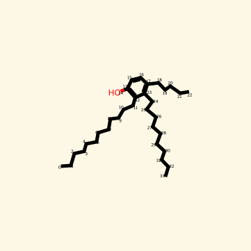 CCCCCCCCCCCCc1c(O)ccc(CCCCC)c1CCCCCCCCCC